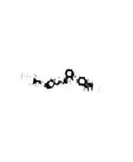 Cn1nc2ccc(Oc3ncccc3C(=O)NCC3CC4CC3CC4OCC(=O)O)cc2n1